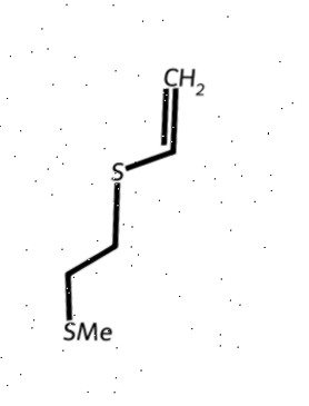 C=CSCCSC